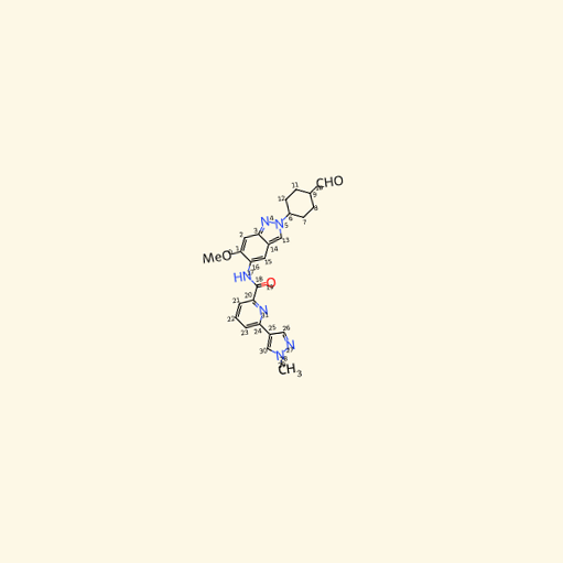 COc1cc2nn(C3CCC(C=O)CC3)cc2cc1NC(=O)c1cccc(-c2cnn(C)c2)n1